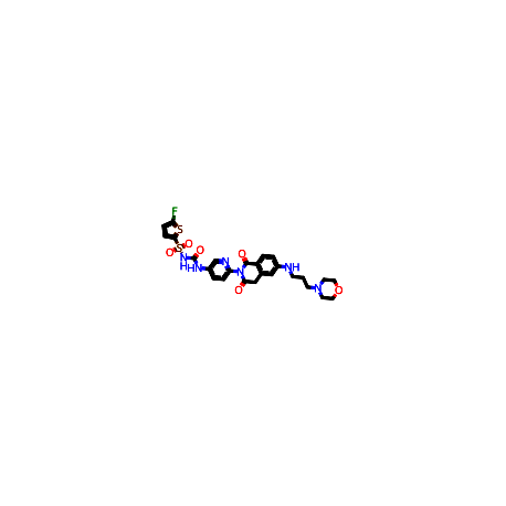 O=C(Nc1ccc(N2C(=O)Cc3cc(NCCCN4CCOCC4)ccc3C2=O)nc1)NS(=O)(=O)c1ccc(F)s1